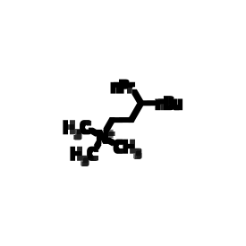 CCCCC(CCC)CC[N+](C)(C)C